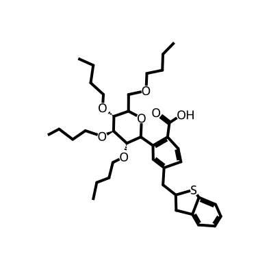 CCCCOCC1OC(c2cc(CC3Cc4ccccc4S3)ccc2C(=O)O)[C@H](OCCCC)[C@@H](OCCCC)[C@@H]1OCCCC